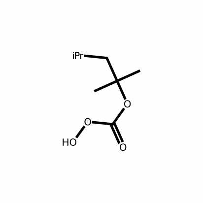 CC(C)CC(C)(C)OC(=O)OO